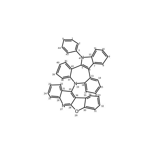 c1ccc(-n2c3c(c4ccccc42)-c2ccccc2N(c2c4ccccc4nc4oc5ccccc5c24)c2ccccc2-3)cc1